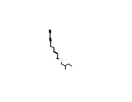 C#CC#CCCC=CC(=O)NCC(C)CC